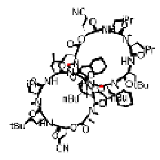 CCCC[C@@H](C)C[C@@H]1NC(=O)[C@H](CC2CCCCC2)N(C)C(=O)[C@H](CC(C)CC[C@H]2C(=O)O[C@H](CCC#N)C(=O)N[C@@H](CC(C)C)C(=O)N(C)[C@@H](CC(C)C)C(=O)N[C@@H](CC(C)(C)C)C(=O)N(C)[C@@H](CC3CCCCC3)C(=O)N[C@@H](C[C@H](C)CCCC)C(=O)N2C)NC(=O)[C@H](CC(C)C)N(C)C(=O)[C@H](CCC(C)(C)C)NC(=O)[C@@H](CCC#N)OC(=O)[C@H](C)N(C)C1=O